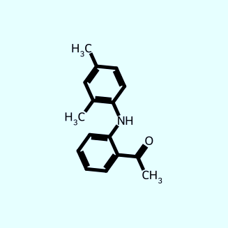 CC(=O)c1ccccc1Nc1ccc(C)cc1C